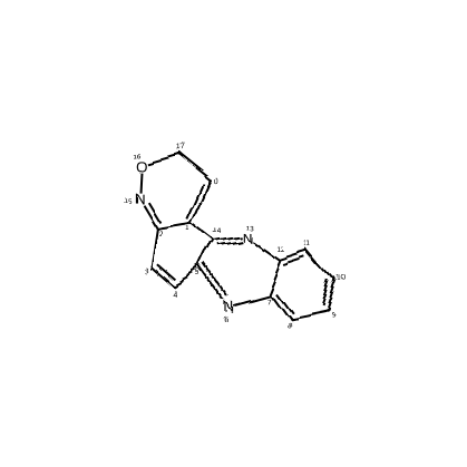 C1=c2c(ccc3nc4ccccc4nc23)=NOC1